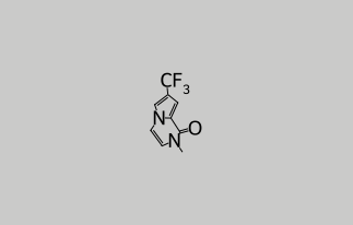 Cn1ccn2cc(C(F)(F)F)cc2c1=O